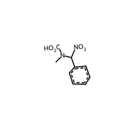 CN(C(=O)O)C(c1ccccc1)[N+](=O)[O-]